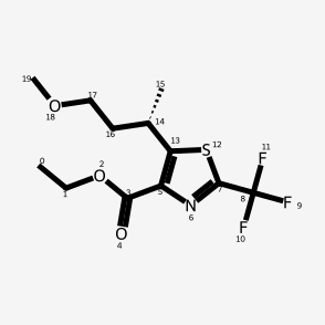 CCOC(=O)c1nc(C(F)(F)F)sc1[C@@H](C)CCOC